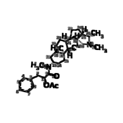 CC(=O)O[C@@H](Cc1ccccc1)C(=O)N(C)[C@H]1CC[C@@]2(C)C(=CC[C@H]3[C@@H]4CC[C@@H]5[C@H](C)N(C)C[C@@]54CC[C@@H]32)C1